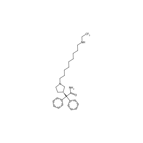 NC(=O)C(c1ccccc1)(c1ccccc1)[C@H]1CCN(CCCCCCCCCNCC(F)(F)F)C1